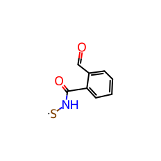 O=Cc1ccccc1C(=O)N[S]